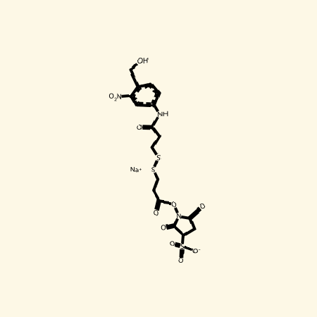 O=C(CCSSCCC(=O)ON1C(=O)CC(S(=O)(=O)[O-])C1=O)Nc1ccc(CO)c([N+](=O)[O-])c1.[Na+]